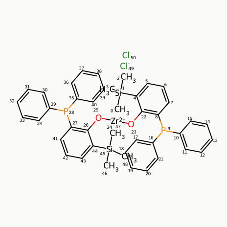 C[Si](C)(C)c1cccc(P(c2ccccc2)c2ccccc2)c1[O][Zr+2][O]c1c(P(c2ccccc2)c2ccccc2)cccc1[Si](C)(C)C.[Cl-].[Cl-]